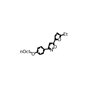 CCCCCCCCOc1ccc(-c2cc(-c3ccc(CC)o3)on2)cc1